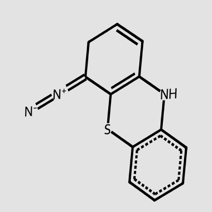 [N-]=[N+]=C1CC=CC2=C1Sc1ccccc1N2